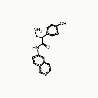 NCC(C(=O)Nc1ccc2cnccc2c1)c1ccc(O)cc1